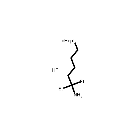 CCCCCCCCCCCC(N)(CC)CC.F